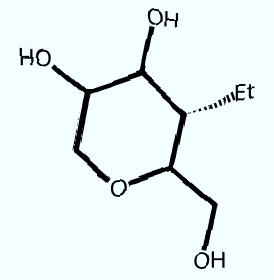 CC[C@@H]1C(CO)OCC(O)C1O